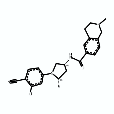 C[C@H]1C[C@@H](NC(=O)c2ccc3c(c2)CCN(C)C3)CN1c1ccc(C#N)c(Cl)c1